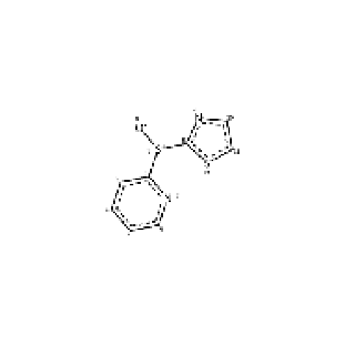 [O-][S+](c1ccccn1)c1nccs1